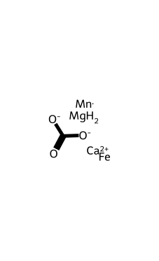 O=C([O-])[O-].[Ca+2].[Fe].[MgH2].[Mn]